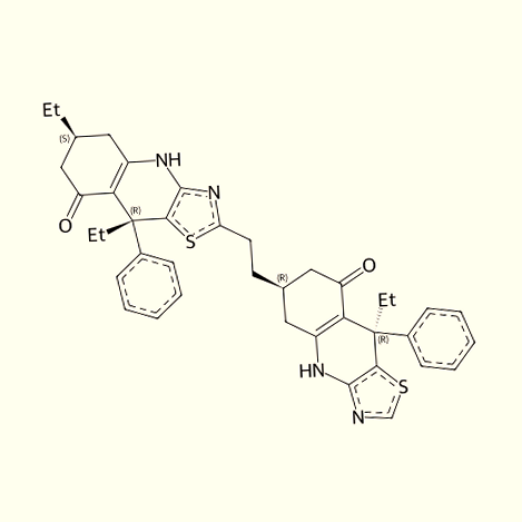 CC[C@@H]1CC(=O)C2=C(C1)Nc1nc(CC[C@H]3CC(=O)C4=C(C3)Nc3ncsc3[C@]4(CC)c3ccccc3)sc1[C@]2(CC)c1ccccc1